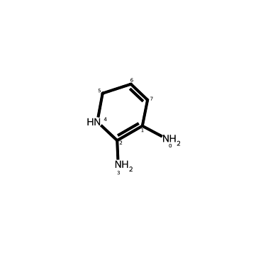 NC1=C(N)NCC=C1